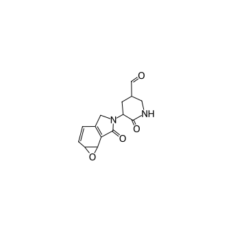 O=CC1CNC(=O)C(N2CC3=C(C2=O)C2OC2C=C3)C1